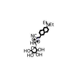 CCN(CC)c1ccc2cc(/C=C(\C#N)S(=O)(=O)NC[C@H]3OC(O)[C@H](O)[C@@H](O)[C@@H]3O)ccc2c1